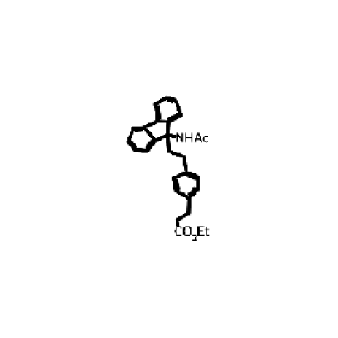 CCOC(=O)CCc1ccc(CCC2(NC(C)=O)c3ccccc3-c3ccccc32)cc1